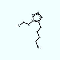 NCCCCc1cnnn1CCS